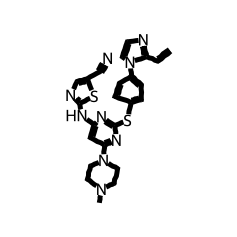 C=Cc1nccn1-c1ccc(Sc2nc(Nc3ncc(C#N)s3)cc(N3CCN(C)CC3)n2)cc1